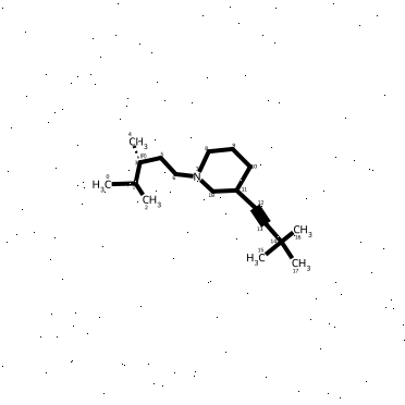 CC(C)[C@H](C)CCN1CCCC(C#CC(C)(C)C)C1